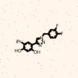 CC(C)c1cc(-c2cn(Cc3ccc(F)c(F)c3)nn2)c(O)cc1O